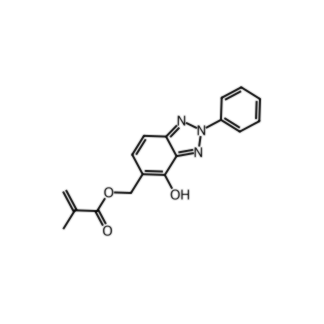 C=C(C)C(=O)OCc1ccc2nn(-c3ccccc3)nc2c1O